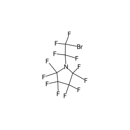 FC(F)(Br)C(F)(F)N1C(F)(F)C(F)(F)C(F)(F)C1(F)F